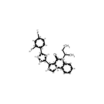 CCC(C)n1c(=O)c2c(-c3noc(-c4ccc(F)cc4F)n3)ncn2c2ccccc21